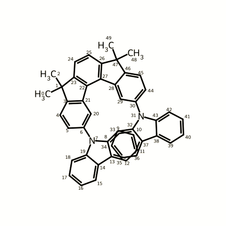 CC1(C)c2ccc(-n3c4ccccc4c4ccccc43)cc2-c2c1ccc1c2-c2cc(-n3c4ccccc4c4ccccc43)ccc2C1(C)C